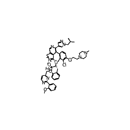 COc1ccccc1-c1nccc(COc2ccccc2C[C@@H](Oc2nsc3cnc(-c4cnn(CC(C)C)c4)c(-c4ccc(OCCN5CCN(C)CC5)c(Cl)c4C)c23)C(=O)O)n1